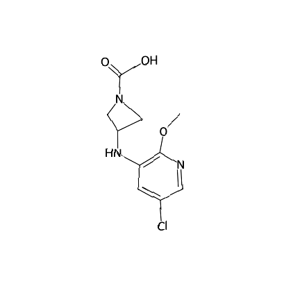 COc1ncc(Cl)cc1NC1CN(C(=O)O)C1